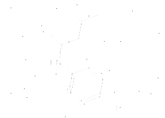 CC(O)CC(C)Nc1ccc(Cl)nn1